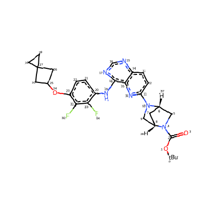 CC(C)(C)OC(=O)N1C[C@@H]2C[C@H]1CN2c1ccc2ncnc(Nc3ccc(OC4CC5(CC5)C4)c(F)c3F)c2n1